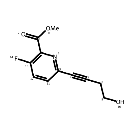 COC(=O)c1nc(C#CCCO)ccc1F